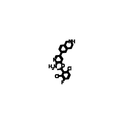 C[C@@H](Oc1cc(-c2ccc3c(c2)CCNC3)cnc1N)c1c(Cl)ccc(F)c1Cl